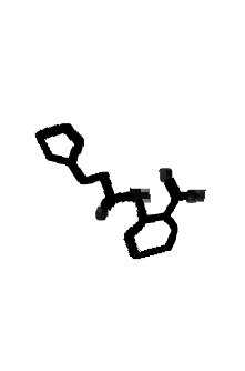 O=C(CCC1CCCC1)NC1CCCCC1C(=O)O